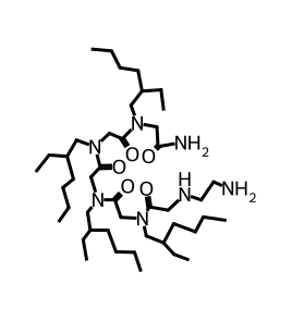 CCCCC(CC)CN(CC(N)=O)C(=O)CN(CC(CC)CCCC)C(=O)CN(CC(CC)CCCC)C(=O)CN(CC(CC)CCCC)C(=O)CNCCN